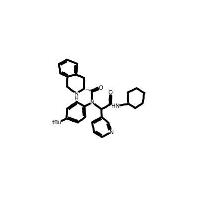 CC(C)(C)c1ccc(N(C(=O)[C@H]2Cc3ccccc3CN2)C(C(=O)NC2CCCCC2)c2cccnc2)cc1